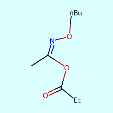 CCCCON=C(C)OC(=O)CC